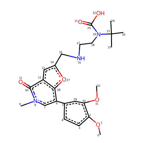 COc1ccc(-c2cn(C)c(=O)c3cc(CNCCN(C(=O)O)C(C)(C)C)oc23)cc1OC